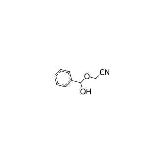 N#CCOC(O)c1ccccc1